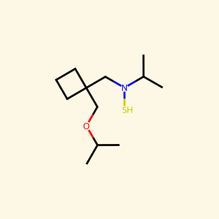 CC(C)OCC1(CN(S)C(C)C)CCC1